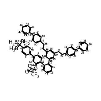 BC(B)(B)c1ccc(-c2ccc(-c3ccccc3-c3cc(CCc4ccc(-c5ccccn5)cc4)cc(CCc4ccc(-c5ccccn5)cc4)c3)c(OS(=O)(=O)C(F)(F)F)c2)nc1